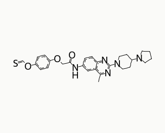 Cc1nc(N2CCC(N3CCCC3)CC2)nc2ccc(NC(=O)COc3ccc(OC=S)cc3)cc12